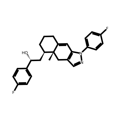 C[C@]12Cc3cnn(-c4ccc(F)cc4)c3C=C1CCC[C@@H]2C[C@@H](O)c1ccc(F)cc1